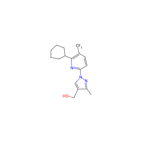 Cc1nn(-c2ccc(C(F)(F)F)c(C3CCCCC3)n2)cc1CO